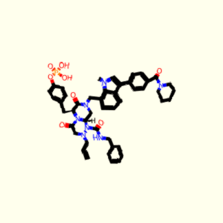 C=CCN1CC(=O)N2[C@@H](Cc3ccc(OP(=O)(O)O)cc3)C(=O)N(Cc3cccc4c(-c5ccc(C(=O)N6CCCCC6)cc5)cn(C)c34)C[C@@H]2N1C(=O)NCc1ccccc1